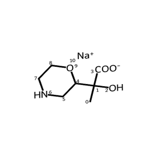 CC(O)(C(=O)[O-])C1CNCCO1.[Na+]